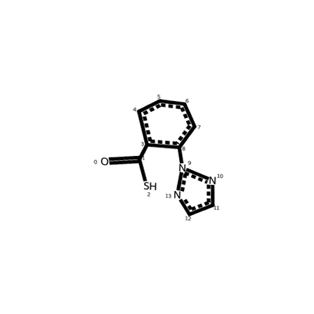 O=C(S)c1ccccc1-n1nccn1